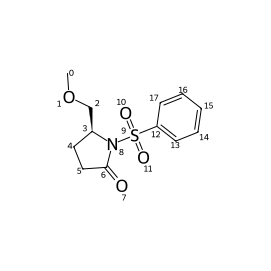 COC[C@@H]1CCC(=O)N1S(=O)(=O)c1ccccc1